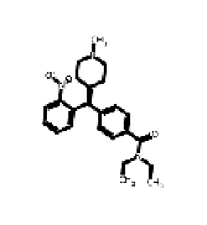 CCN(CC)C(=O)c1ccc(C(=C2CCN(C)CC2)c2ccccc2[N+](=O)[O-])cc1